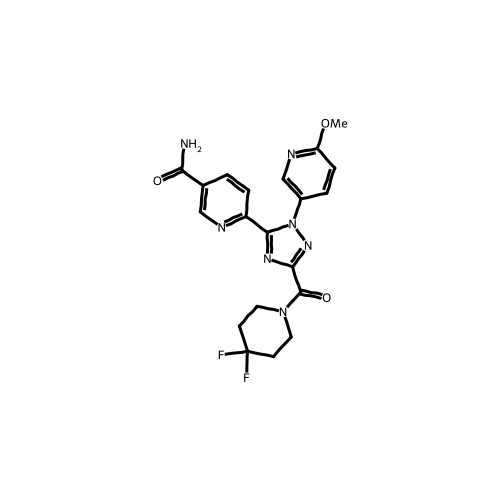 COc1ccc(-n2nc(C(=O)N3CCC(F)(F)CC3)nc2-c2ccc(C(N)=O)cn2)cn1